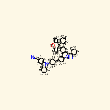 N#Cc1ccc2c(c1)c1ccccc1n2-c1ccc(-c2ccc3c(c2)-c2cc4c(cc2C(c2ccccc2)N3)-c2ccccc2C42c3ccccc3Oc3ccccc32)cc1